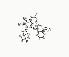 Cc1cc([C@@H](C)Nc2ccccc2C(=O)O)c2nc(N3CC4(CCC4(F)F)C3)c(C#N)c(=O)n2c1